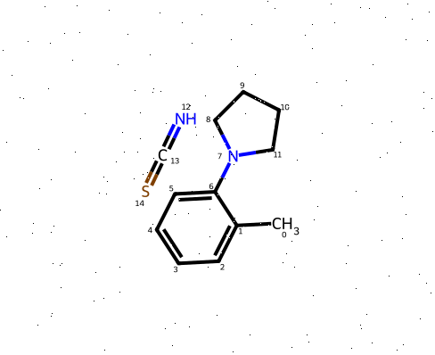 Cc1ccccc1N1CCCC1.N=C=S